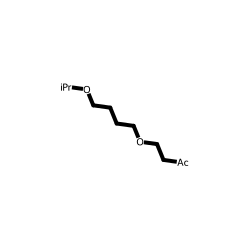 CC(=O)CCOCCCCOC(C)C